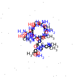 Cc1ccc(N(C(=O)/C=C/c2ccc(C[C@H]3NC(=O)C(CCN)NC(=O)C(NC(=O)[C@@H](CCN)NC(=O)[C@@H](N)[C@@H](C)O)CCNC(=O)[C@@H]([C@@H](C)O)NC(=O)[C@@H](CCN)NC(=O)[C@](C)(CCN)NC(=O)[C@@H](CC(C)C)NC3=O)cc2)c2nccc(N(C)c3ccc4c(C)n(C)nc4c3)n2)cc1S(N)(=O)=O